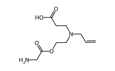 C=CCN(CCOC(=O)CN)CCC(=O)O